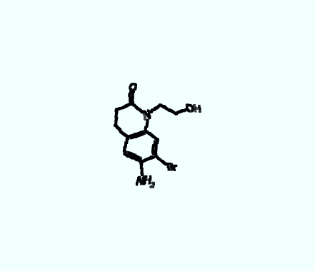 Nc1cc2c(cc1Br)N(CCO)C(=O)CC2